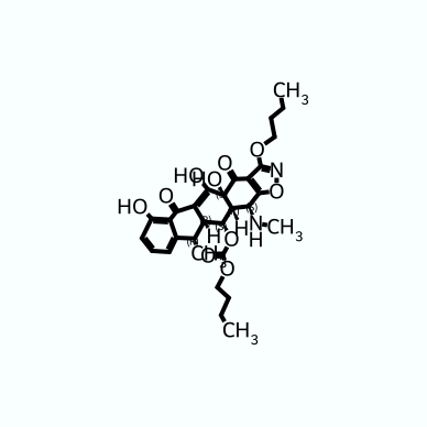 CCCCOC(=O)O[C@H]1[C@H]2C(=C(O)[C@]3(O)C(=O)c4c(OCCCC)noc4[C@@H](NC)[C@H]13)C(=O)c1c(O)cccc1[C@@H]2C